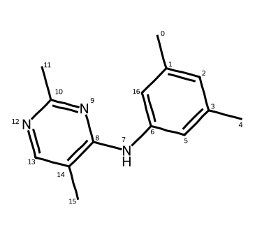 Cc1cc(C)cc(Nc2nc(C)ncc2C)c1